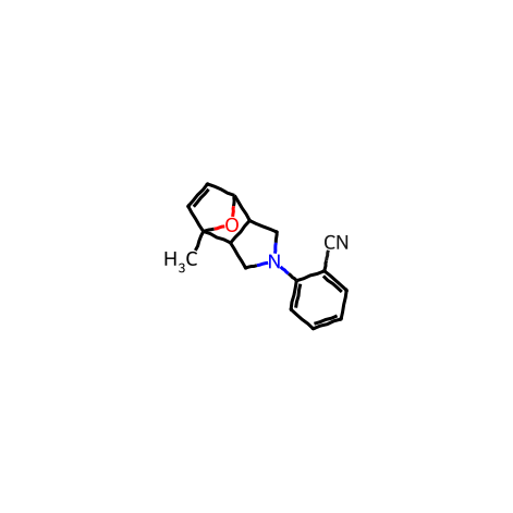 CC12C=CC(O1)C1CN(c3ccccc3C#N)CC12